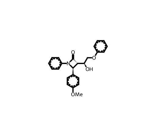 COc1ccc([C@@H]2[C@@H]([C@H](O)COc3ccccc3)C(=O)N2c2ccccc2)cc1